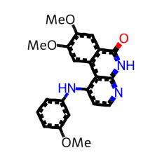 COc1cccc(Nc2ccnc3[nH]c(=O)c4cc(OC)c(OC)cc4c23)c1